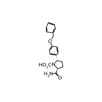 NC(=O)[C@@H]1CC[C@@H](c2ccc(OCc3ccccc3)cc2)N1C(=O)O